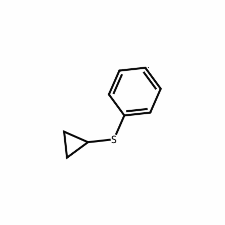 [c]1ccc(SC2CC2)cc1